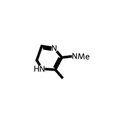 CNC1=C(C)NCC=N1